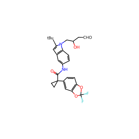 CC(C)(C)c1cc2cc(NC(=O)C3(c4ccc5c(c4)OC(F)(F)O5)CC3)ccc2n1CC(O)CC=O